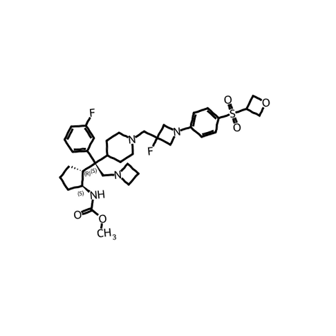 COC(=O)N[C@H]1CCC[C@@H]1[C@](CN1CCC1)(c1cccc(F)c1)C1CCN(CC2(F)CN(c3ccc(S(=O)(=O)C4COC4)cc3)C2)CC1